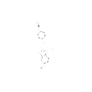 Cn1c(CNc2ccc(C#N)cc2)nc2cc(C=O)ccc21